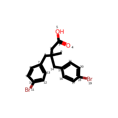 CC(CC(=O)O)(Cc1ccc(Br)cc1)Cc1ccc(Br)cc1